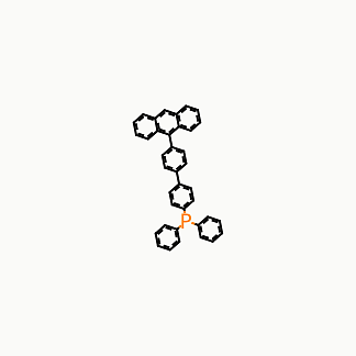 c1ccc(P(c2ccccc2)c2ccc(-c3ccc(-c4c5ccccc5cc5ccccc45)cc3)cc2)cc1